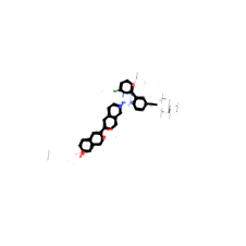 COc1ccc2cc3c(cc2c1)oc1cc2cc(-n4c5ccc(C(C)(C)C)cc5c5c(OC)ccc(Cl)c54)ccc2cc13